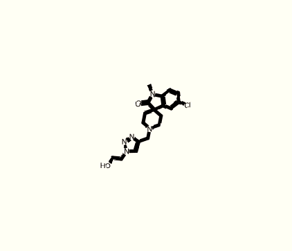 CN1C(=O)C2(CCN(Cc3cn(CCO)nn3)CC2)c2cc(Cl)ccc21